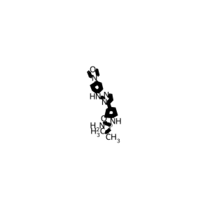 CC(C)C[C@@H](Nc1ccc(-c2ccnc(Nc3ccc(N4CCOCC4)cc3)n2)cc1)C(N)=O